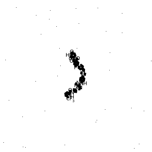 O=C1CC[C@H](N2C(=O)c3cc(F)c(N4CCC(CN5CCN(c6ccc(Nc7ncnc8c7ncn8C7CC(NC(=O)c8cccc(C(F)(F)F)n8)C7)cc6)CC5)CC4)cc3C2=O)C(=O)N1